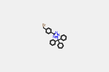 BrCc1ccc(-c2nnn(C(c3ccccc3)(c3ccccc3)c3ccccc3)n2)cc1